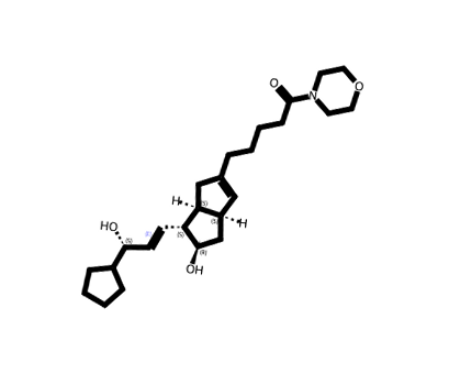 O=C(CCCCC1=C[C@H]2C[C@@H](O)[C@H](/C=C/[C@@H](O)C3CCCC3)[C@H]2C1)N1CCOCC1